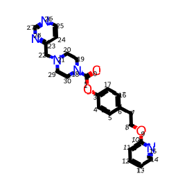 O=C(Oc1ccc(CCOc2ccccn2)cc1)N1CCN(Cc2ccncn2)CC1